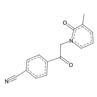 Cc1cccn(CC(=O)c2ccc(C#N)cc2)c1=O